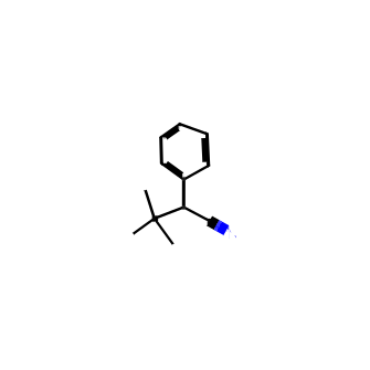 CC(C)(C)C(C#N)c1ccccc1